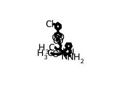 CCCC(CCOP1(=O)OCC(c2cccc(Cl)c2)CO1)n1c(COCC)nc2c(N)nc3ccccc3c21